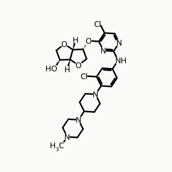 CN1CCN(C2CCN(c3ccc(Nc4ncc(Cl)c(O[C@@H]5CO[C@H]6[C@@H]5OC[C@@H]6O)n4)cc3Cl)CC2)CC1